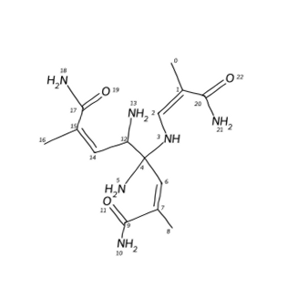 CC(=CNC(N)(C=C(C)C(N)=O)C(N)C=C(C)C(N)=O)C(N)=O